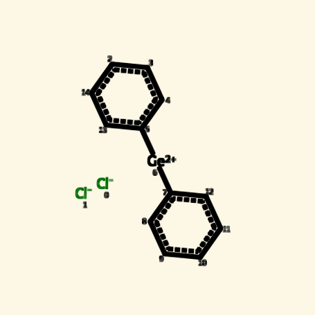 [Cl-].[Cl-].c1cc[c]([Ge+2][c]2ccccc2)cc1